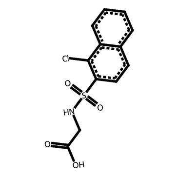 O=C(O)CNS(=O)(=O)c1ccc2ccccc2c1Cl